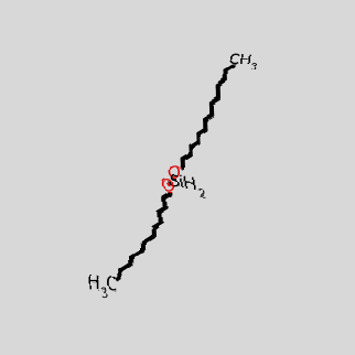 CCCCCCCCCCCCCCCCO[SiH2]OCCCCCCCCCCCCCC